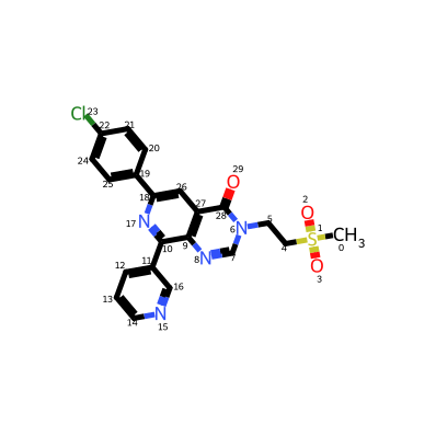 CS(=O)(=O)CCn1cnc2c(-c3cccnc3)nc(-c3ccc(Cl)cc3)cc2c1=O